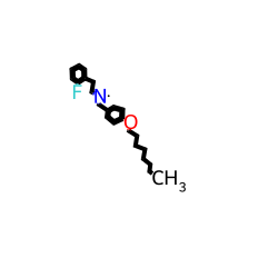 CCCCCCCCOc1ccc(C[N]CCc2ccccc2F)cc1